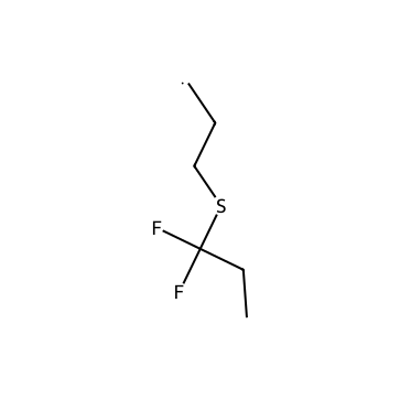 [CH2]CCSC(F)(F)CC